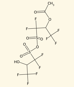 CC(=O)OC(C(F)(F)F)C(F)(F)S(=O)(=O)OS(=O)(=O)C(F)(F)C(O)C(F)(F)F